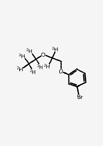 [2H]C([2H])(COc1cccc(Br)c1)OC([2H])([2H])C([2H])([2H])[2H]